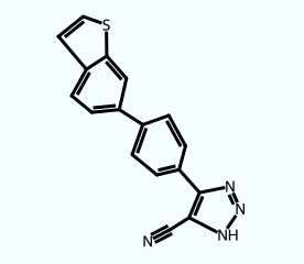 N#Cc1[nH]nnc1-c1ccc(-c2ccc3ccsc3c2)cc1